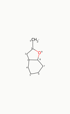 [CH2]C1CC2CCCCC2O1